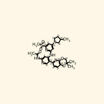 CC(=O)Nc1cc(Nc2cc(N3CCC(C)C3)cc(S(C)(=O)=O)n2)c(-c2ccc3c(n2)OCC(C)(C)O3)cn1